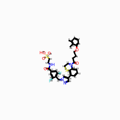 Cc1cccc(OCCCC(=O)N2CCSc3c(-c4cnn(Cc5c(F)cc(C(=O)NCCS(=O)(=O)O)cc5F)c4)cccc32)c1C